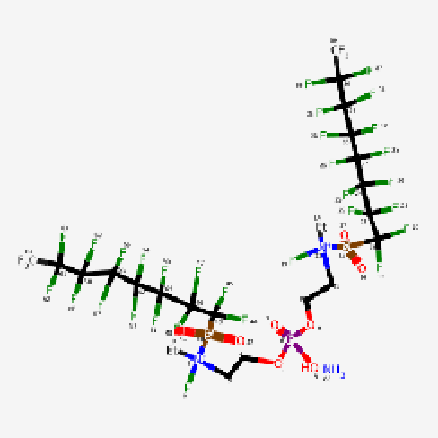 CC[N+](F)(CCOP(=O)(O)OCC[N+](F)(CC)S(=O)(=O)C(F)(F)C(F)(F)C(F)(F)C(F)(F)C(F)(F)C(F)(F)C(F)(F)C(F)(F)F)S(=O)(=O)C(F)(F)C(F)(F)C(F)(F)C(F)(F)C(F)(F)C(F)(F)C(F)(F)C(F)(F)F.N